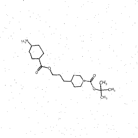 CC(C)(C)OC(=O)N1CCC(CCCOC(=O)C2CCC(N)CC2)CC1